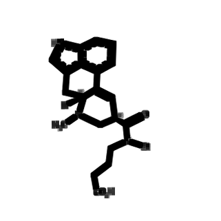 CCN(CCCC(=O)O)C(=O)[C@@H]1C=C2c3cccc4[nH]cc(c34)C[C@H]2N(C)C1